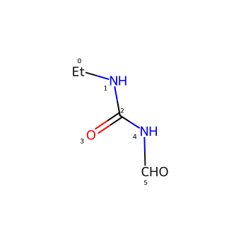 CCNC(=O)NC=O